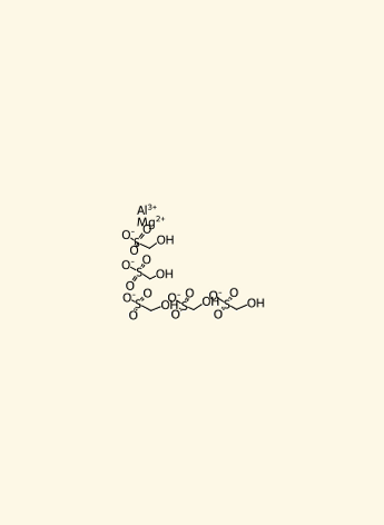 O=S(=O)([O-])CO.O=S(=O)([O-])CO.O=S(=O)([O-])CO.O=S(=O)([O-])CO.O=S(=O)([O-])CO.[Al+3].[Mg+2]